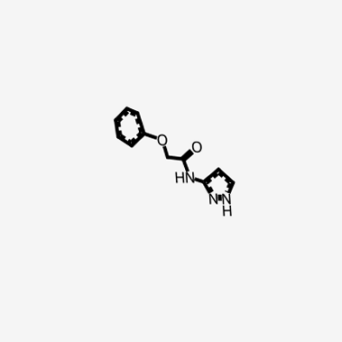 O=C(COc1ccccc1)Nc1cc[nH]n1